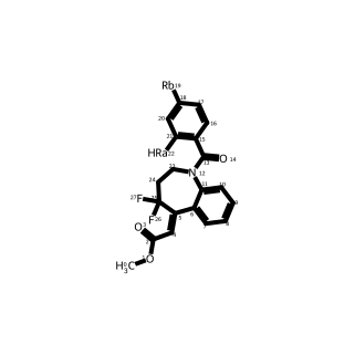 COC(=O)/C=C1/c2ccccc2N(C(=O)c2cc[c]([Rb])c[c]2[RaH])CCC1(F)F